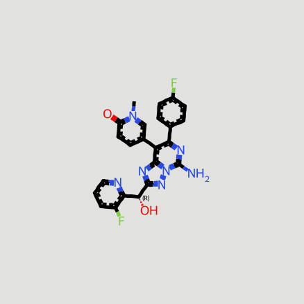 Cn1cc(-c2c(-c3ccc(F)cc3)nc(N)n3nc([C@H](O)c4ncccc4F)nc23)ccc1=O